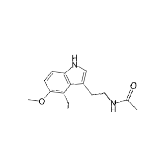 COc1ccc2[nH]cc(CCNC(C)=O)c2c1I